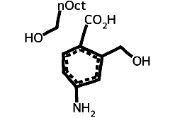 CCCCCCCCCO.Nc1ccc(C(=O)O)c(CO)c1